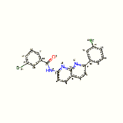 O=C(Nc1ccc2ccc(-c3cccc(Br)c3)nc2n1)c1cccc(Br)c1